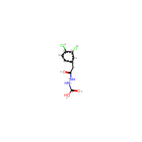 O=C(O)NNC(=O)Cc1ccc(Cl)c(Cl)c1